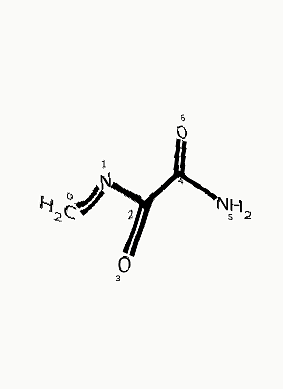 C=NC(=O)C(N)=O